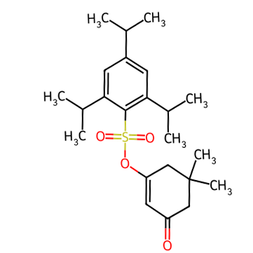 CC(C)c1cc(C(C)C)c(S(=O)(=O)OC2=CC(=O)CC(C)(C)C2)c(C(C)C)c1